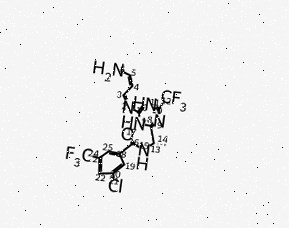 C=C(/N=C\C=C/N)N/C(=N\C(=N)C(F)(F)F)[C@H](C)NC(=O)c1cc(Cl)cc(C(F)(F)F)c1